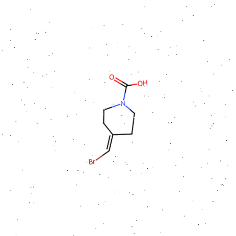 O=C(O)N1CCC(=CBr)CC1